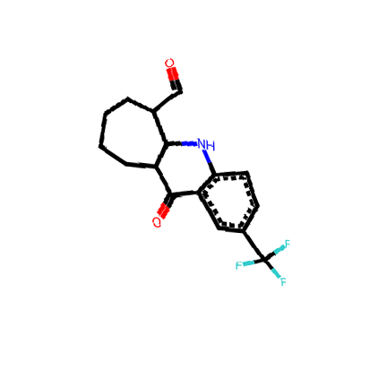 O=CC1CCCCC2C(=O)c3cc(C(F)(F)F)ccc3NC12